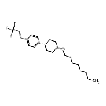 CCCCCCCCO[C@H]1CC[C@H](c2ccc(CCC(F)(F)F)cc2)CC1